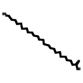 C.CCCCCCCCCCCCCCCCCCCCCCCCCC(=O)O